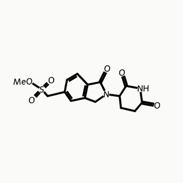 COS(=O)(=O)Cc1ccc2c(c1)CN(C1CCC(=O)NC1=O)C2=O